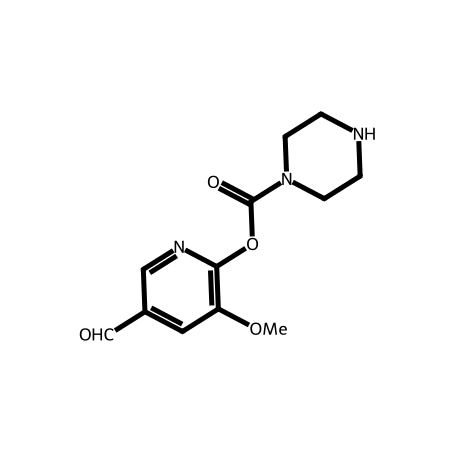 COc1cc(C=O)cnc1OC(=O)N1CCNCC1